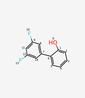 Oc1ccccc1-c1cc(F)cc(F)c1